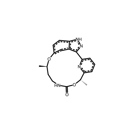 C[C@@H]1CCNC(=O)O[C@@H](C)c2cccc(n2)-c2n[nH]c3ccc(cc23)O1